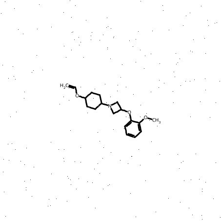 C=COC1CCC(N2CC(Oc3ccccc3OC)C2)CC1